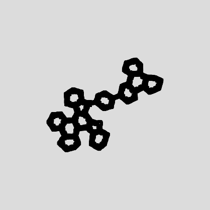 c1ccc2c(c1)oc1c2c2c3ccccc3c3ccccc3c2c2c3ccccc3n(-c3ccc(-c4ccc5c6ccccc6c6ccccc6c5c4)cc3)c12